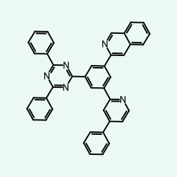 c1ccc(-c2ccnc(-c3cc(-c4cc5ccccc5cn4)cc(-c4nc(-c5ccccc5)nc(-c5ccccc5)n4)c3)c2)cc1